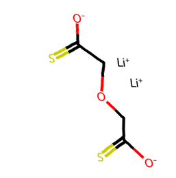 [Li+].[Li+].[O-]C(=S)COCC([O-])=S